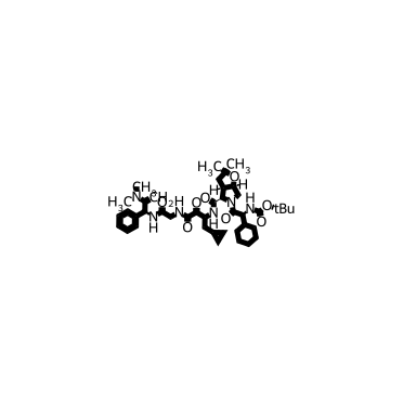 C=C([C@@H](NC(=O)CNC(=O)C(=O)C(CC1CC1)NC(=O)[C@@H]1[C@H]2CC(C)(C)O[C@H]2CN1C(=O)[C@@H](NC(=O)OC(C)(C)C)C1CCCCC1)c1ccccc1)N(C)C